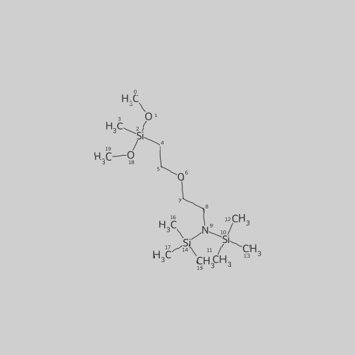 CO[Si](C)(CCOCCN([Si](C)(C)C)[Si](C)(C)C)OC